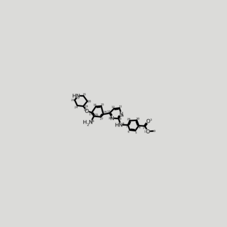 COC(=O)c1ccc(Nc2nccc(-c3ccc(OC4CCNCC4)c(N)c3)n2)cc1